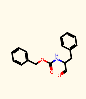 O=CC(Cc1ccccc1)NC(=O)OCc1ccccc1